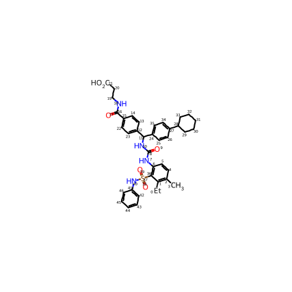 CCc1c(C)ccc(NC(=O)NC(c2ccc(C(=O)NCCC(=O)O)cc2)c2ccc(C3CCCCC3)cc2)c1S(=O)(=O)Nc1ccccc1